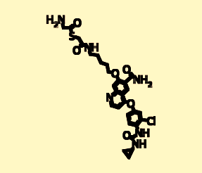 NCC(=O)SCC(=O)NCCCCCOc1cc2nccc(Oc3ccc(NC(=O)NC4CC4)c(Cl)c3)c2cc1C(N)=O